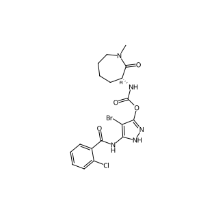 CN1CCCC[C@@H](NC(=O)Oc2n[nH]c(NC(=O)c3ccccc3Cl)c2Br)C1=O